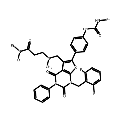 CCNC(=O)Nc1ccc(-c2sc3c(c2CN(C)CCC(=O)N(CC)CC)c(=O)n(-c2ccccc2)c(=O)n3Cc2c(F)cccc2F)cc1